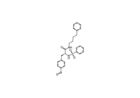 O=Nc1ccc(C[C@H](NS(=O)(=O)c2ccccc2)C(=O)NCCCCc2ccccc2)cc1